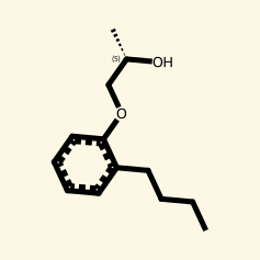 CCCCc1ccccc1OC[C@H](C)O